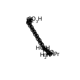 CCCC(CCC)C(=O)C1=Cc2ccc(-c3cnc(CNC(O)CCOCCOCCOCCOCCOCCOCCOCCOCCOCCOCCC(=O)Oc4c(F)c(F)c(S(=O)(=O)O)c(F)c4F)nc3)cc2N=C(N)C1